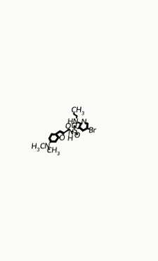 CCCNc1ncc(Br)cc1S(=O)(=O)NC(=O)c1cc2ccc(N(C)C)cc2o1